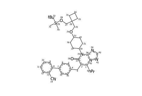 CCCc1c(Cc2ccc(-c3ccccc3C#N)cc2)c(=O)n(C2CCC(OCC3(CO[Si](C)(C)C(C)(C)C)CCC3)CC2)c2ncnn12